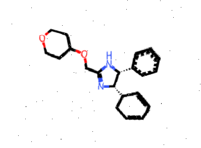 C1=CCC([C@@H]2N=C(COC3CCOCC3)N[C@@H]2c2ccccc2)C=C1